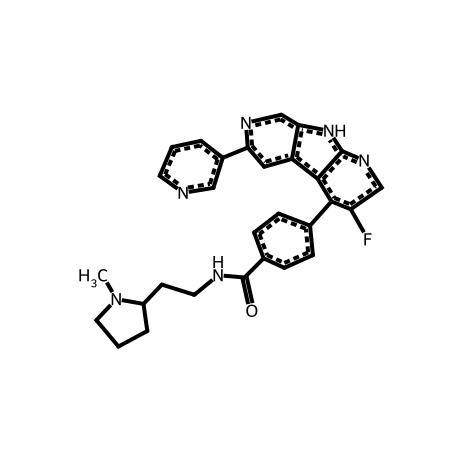 CN1CCCC1CCNC(=O)c1ccc(-c2c(F)cnc3[nH]c4cnc(-c5cccnc5)cc4c23)cc1